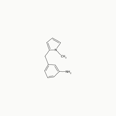 Cn1cccc1Cc1cccc(N)c1